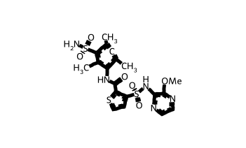 COc1nccnc1NS(=O)(=O)c1ccsc1C(=O)Nc1c(C)cc(C)c(S(N)(=O)=O)c1C